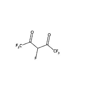 O=C(C(F)C(=O)C(F)(F)F)C(F)(F)F